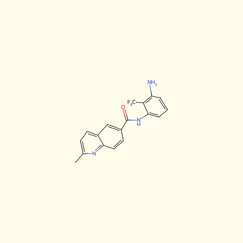 Cc1ccc2cc(C(=O)Nc3cccc(N)c3C(F)(F)F)ccc2n1